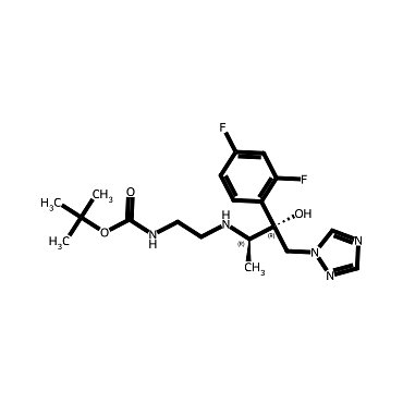 C[C@@H](NCCNC(=O)OC(C)(C)C)[C@](O)(Cn1cncn1)c1ccc(F)cc1F